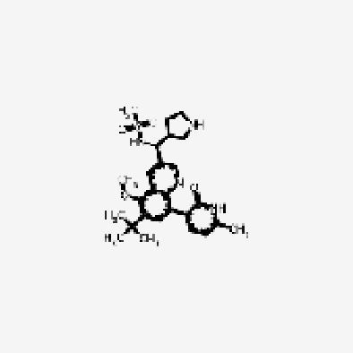 COc1c(C(C)(C)C)cc(-c2ccc(C)[nH]c2=O)c2ncc([C@@H](NS(C)(=O)=O)C3CCNC3)cc12